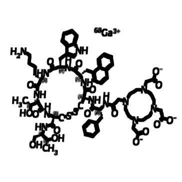 C[C@@H](O)[C@@H]1NC(=O)[C@H](CCCCN)NC(=O)[C@@H](Cc2c[nH]c3ccccc23)NC(=O)[C@H](Cc2cccc3ccccc23)NC(=O)[C@@H](NC(=O)[C@@H](Cc2ccccc2)NC(=O)CN2CCN(CC(=O)[O-])CCN(CC(=O)[O-])CCN(CC(=O)[O-])CC2)CSSC[C@@H](C(=O)N[C@H](CO)[C@@H](C)O)NC1=O.[68Ga+3]